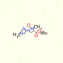 CN1C(=O)N(c2cn(C)cn2)CC1C(=O)OC(C)(C)C